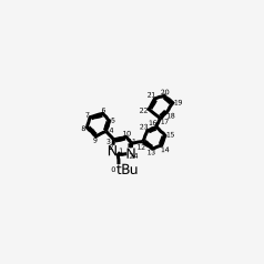 CC(C)(C)c1nc(-c2ccccc2)cc(-c2cccc(-c3ccccc3)c2)n1